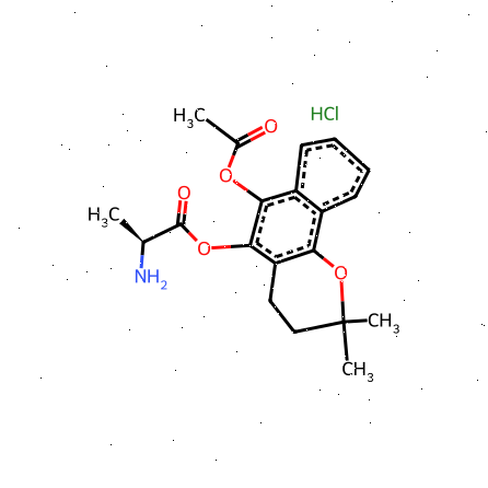 CC(=O)Oc1c(OC(=O)[C@H](C)N)c2c(c3ccccc13)OC(C)(C)CC2.Cl